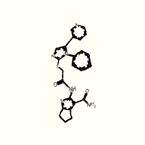 NC(=O)c1c(NC(=O)CSc2ncc(-c3cccnc3)n2-c2ccccc2)sc2c1CCC2